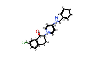 O=C1c2cc(Cl)ccc2CCC1[n+]1ccc(NCC2=CCCC=C2)cc1